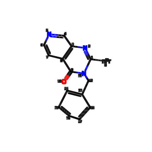 CCCc1nc2cnccc2c(=O)n1Cc1ccccc1